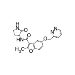 Cc1oc2ccc(OCc3cccnn3)cc2c1C(=O)NC1CCNC1=O